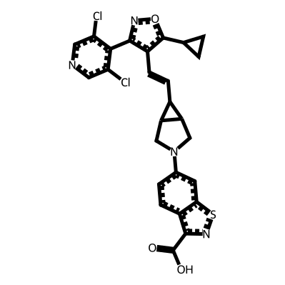 O=C(O)c1nsc2cc(N3CC4C(/C=C/c5c(-c6c(Cl)cncc6Cl)noc5C5CC5)C4C3)ccc12